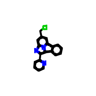 ClCc1cc2nc(-c3ccccn3)c3c4ccccc4c(c1)n23